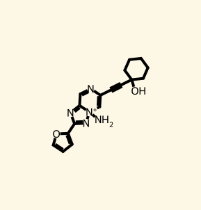 N[N+]12C=C(C#CC3(O)CCCCC3)N=CC1=NC(c1ccco1)=N2